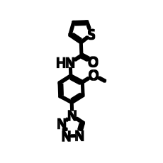 COc1cc(-n2cnnn2)ccc1NC(=O)c1cccs1